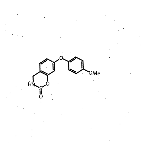 COc1ccc(Oc2ccc3c(c2)OS(=O)NC3)cc1